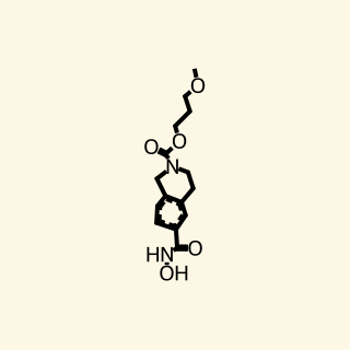 COCCCOC(=O)N1CCc2cc(C(=O)NO)ccc2C1